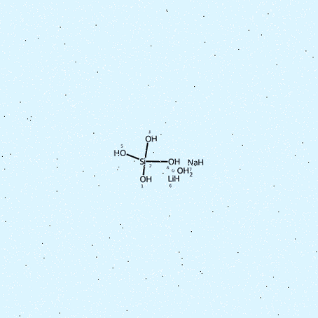 O.O[Si](O)(O)O.[LiH].[NaH]